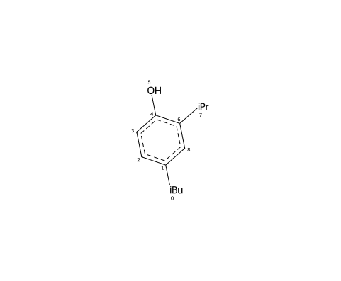 CCC(C)c1ccc(O)c(C(C)C)c1